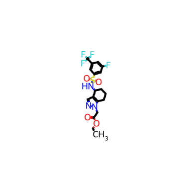 CCOC(=O)Cn1ncc2c1CCCC2NS(=O)(=O)c1cc(F)cc(C(F)(F)F)c1